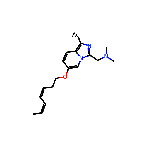 C/C=C\C=C/CCOc1ccc2c(C(C)=O)nc(CN(C)C)n2c1